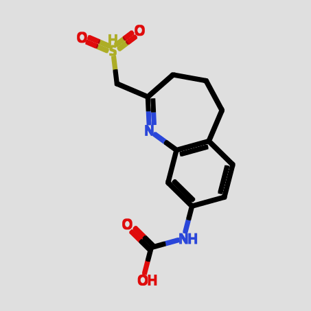 O=C(O)Nc1ccc2c(c1)N=C(C[SH](=O)=O)CCC2